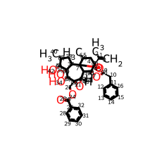 C=C(C)[C@]12C[C@@H](C)C34O[C@@](Cc5ccccc5)(O[C@@H]1C3[C@@H]1O[C@]1(COC(=O)c1ccccc1)[C@@H](O)[C@@]1(O)C4C[C@H](C)[C@@H]1O)O2